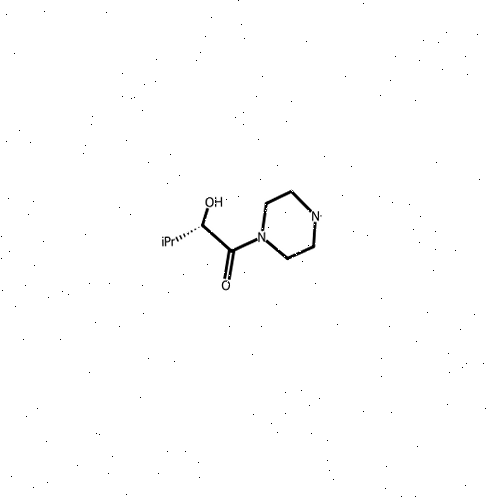 CC(C)[C@H](O)C(=O)N1CC[N]CC1